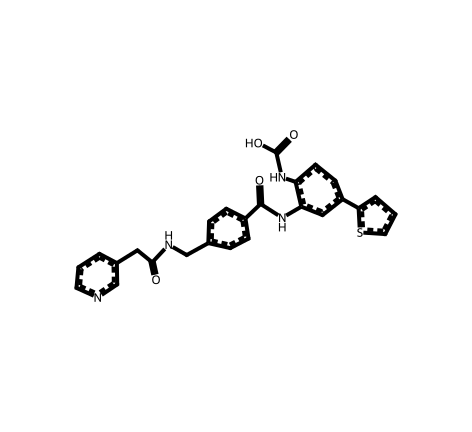 O=C(O)Nc1ccc(-c2cccs2)cc1NC(=O)c1ccc(CNC(=O)Cc2cccnc2)cc1